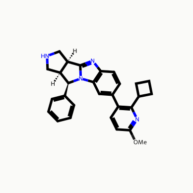 COc1ccc(-c2ccc3nc4n(c3c2)[C@@H](c2ccccc2)[C@H]2CNC[C@@H]42)c(C2CCC2)n1